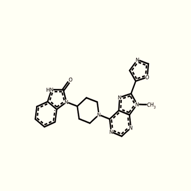 Cn1c(-c2cnco2)nc2c(N3CCC(n4c(=O)[nH]c5ccccc54)CC3)ncnc21